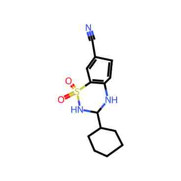 N#Cc1ccc2c(c1)S(=O)(=O)NC(C1CCCCC1)N2